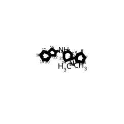 CN(C)C1(c2ccccc2)CCC(NC2Cc3ccccc3C2)CC1